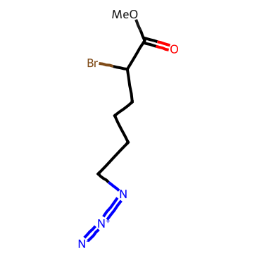 COC(=O)C(Br)CCCCN=[N+]=[N-]